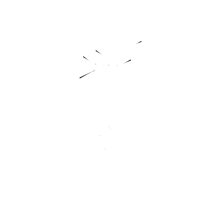 CO[C@H]1C[C@@]23CCC(C)[C@@](C)([C@H](OC(C)=O)C[C@@H](C4=CCCC5C(=O)N(c6ccccc6)C(=O)N5C4)[C@@H]2C)[C@]3(C)C2OC21